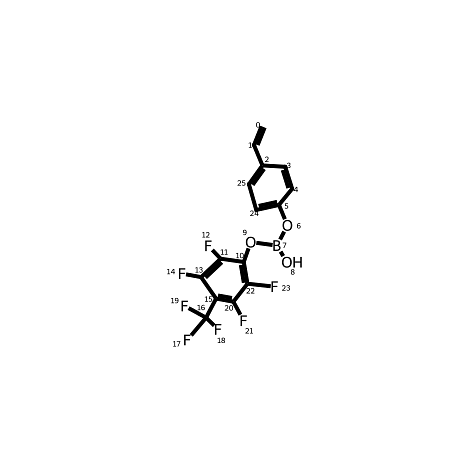 C=Cc1ccc(OB(O)Oc2c(F)c(F)c(C(F)(F)F)c(F)c2F)cc1